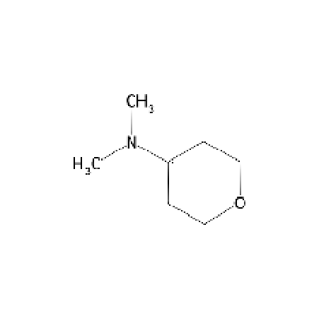 CN(C)[C]1CCOCC1